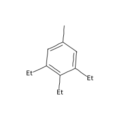 CCc1cc(C)cc(CC)c1CC